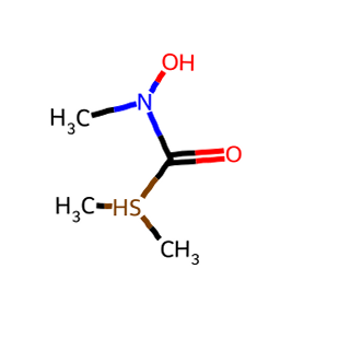 CN(O)C(=O)[SH](C)C